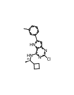 Cc1cccc(-c2cc3nc(Cl)nc(N[C@H](C)C4CCC4)c3[nH]2)c1